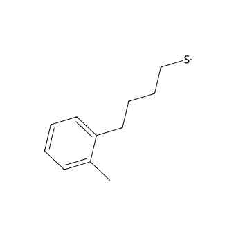 Cc1ccccc1CCCC[S]